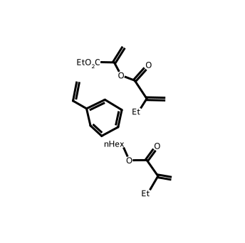 C=C(CC)C(=O)OC(=C)C(=O)OCC.C=C(CC)C(=O)OCCCCCC.C=Cc1ccccc1